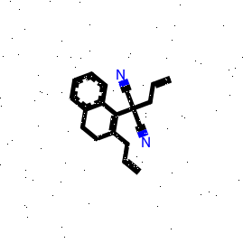 C=CCC1=C(C(C#N)(C#N)CC=C)c2ccccc2CC1